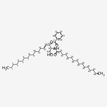 CCCCCCCCCCCCC/C=C/C(OC(=O)c1ccccc1)[C@H](CO)NC(=O)CCCCCCCCCCCCCCC